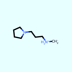 [CH2-][NH2+]CCCN1CCCC1